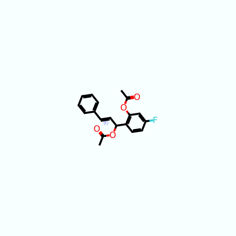 CC(=O)Oc1cc(F)ccc1C(/C=C/c1ccccc1)OC(C)=O